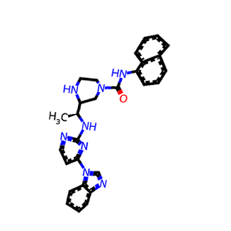 C[C@H](Nc1nccc(-n2cnc3ccccc32)n1)C1CN(C(=O)Nc2cccc3ccccc23)CCN1